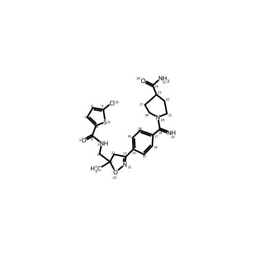 CC1(CNC(=O)c2ccc(Cl)s2)CC(c2ccc(C(=N)N3CCC(C(N)=O)CC3)cc2)=NO1